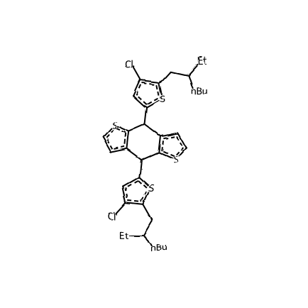 CCCCC(CC)Cc1sc(C2c3ccsc3C(c3cc(Cl)c(CC(CC)CCCC)s3)c3ccsc32)cc1Cl